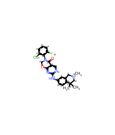 CN1Cc2cc(Nc3ncc4c(n3)OCN(c3c(F)cccc3Cl)C4=O)ccc2C(C)(C)C1